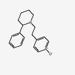 [O-][n+]1ccc(CCN2CCCCC2c2ccccc2)cc1